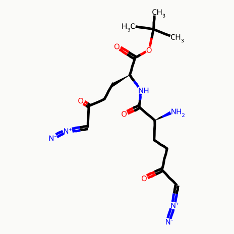 CC(C)(C)OC(=O)[C@H](CCC(=O)C=[N+]=[N-])NC(=O)[C@@H](N)CCC(=O)C=[N+]=[N-]